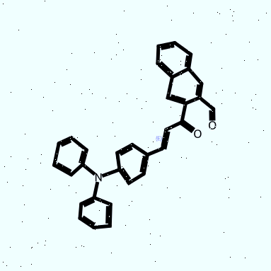 O=Cc1cc2ccccc2cc1C(=O)/C=C/c1ccc(N(c2ccccc2)c2ccccc2)cc1